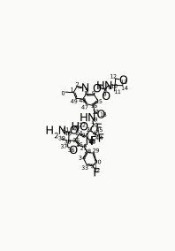 Cc1cnc2c(OC(=O)NC3(C)COC3)cc(C(=O)NC[C@](O)(c3cc4c(c(-c5ccc(F)cc5)n3)OC[C@]4(C)C(N)=O)C(F)(F)F)cc2c1